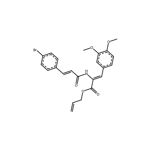 C=CCOC(=O)C(=Cc1ccc(OC)c(OC)c1)NC(=O)C=Cc1ccc(Br)cc1